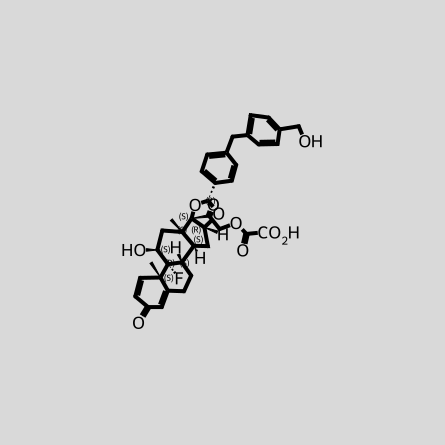 C[C@]12C=CC(=O)C=C1CC[C@H]1[C@@H]3C[C@H]4O[C@@H](c5ccc(Cc6ccc(CO)cc6)cc5)O[C@@]4(C(=O)COC(=O)C(=O)O)[C@@]3(C)C[C@H](O)[C@@]12F